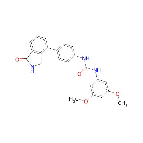 COc1cc(NC(=O)Nc2ccc(-c3cccc4c3CNC4=O)cc2)cc(OC)c1